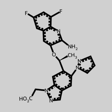 C[C@H](Oc1cc2cc(F)cc(F)c2nc1N)c1cc2c(cnn2CC(=O)O)cc1-n1cccn1